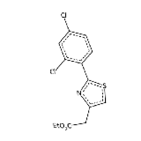 CCOC(=O)Cc1csc(-c2ccc(Cl)cc2Cl)n1